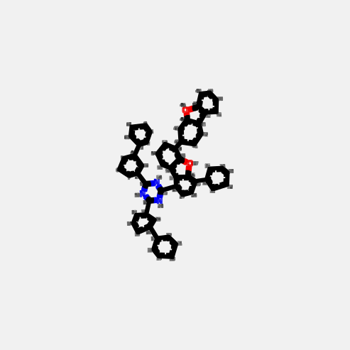 c1ccc(-c2cccc(-c3nc(-c4cccc(-c5ccccc5)c4)nc(-c4ccc(-c5ccccc5)c5oc6c(-c7ccc8c(c7)oc7ccccc78)cccc6c45)n3)c2)cc1